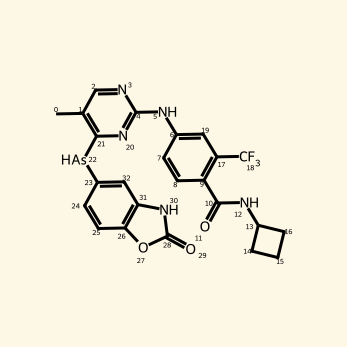 Cc1cnc(Nc2ccc(C(=O)NC3CCC3)c(C(F)(F)F)c2)nc1[AsH]c1ccc2oc(=O)[nH]c2c1